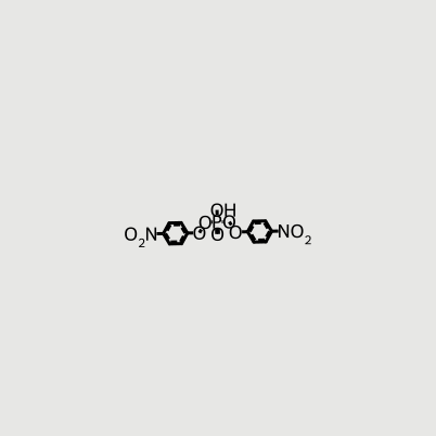 O=[N+]([O-])c1ccc(OOP(=O)(O)OOc2ccc([N+](=O)[O-])cc2)cc1